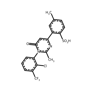 Cc1ccc(S(=O)(=O)O)c(-c2cc(=O)n(-c3cccc(C(F)(F)F)c3Cl)c(C)n2)c1